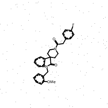 COc1ccccc1CNC(=O)C1(c2ccccc2)CCN(C(=O)Cc2ccc(F)cc2)CC1